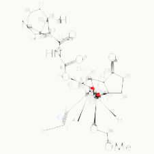 C/C=C/[C@]1(C)C[C@@H](OC(=O)NC(=O)[C@H]2CN3CC[C@@H]2C3)[C@@]2(C)C3C(=O)CCC3(CC[C@H]2C)[C@@H](C)[C@@H]1OCOC